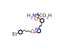 CCc1ccc(CCCCOCc2cccc(C=Cc3cccc(C(=O)C4(C(=O)O)CC4N)c3)n2)cc1